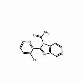 NC(=O)n1c(-c2ncccc2Cl)nc2[c]nccc21